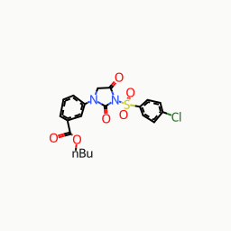 CCCCOC(=O)c1cccc(N2CC(=O)N(S(=O)(=O)c3ccc(Cl)cc3)C2=O)c1